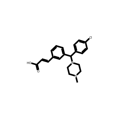 CN1CCN(C(c2ccc(Cl)cc2)c2cccc(C=CC(=O)O)c2)CC1